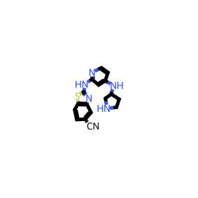 N#Cc1ccc2sc(Nc3cc(NC4CCNC4)ccn3)nc2c1